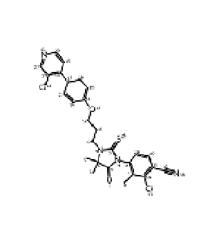 Cc1c(N2C(=O)C(C)(C)N(CCCOC3=CC[C@H](c4ccncc4Cl)C=C3)C2=S)ccc(C#N)c1Cl